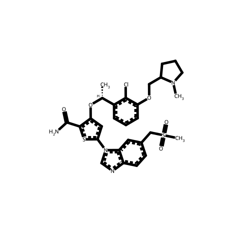 C[C@@H](Oc1cc(-n2cnc3ccc(CS(C)(=O)=O)cc32)sc1C(N)=O)c1cccc(OCC2CCCN2C)c1Cl